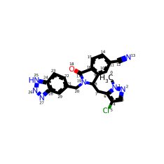 Cn1ncc(Cl)c1CC1c2cc(C#N)ccc2C(=O)N1Cc1ccc2[nH]nnc2c1